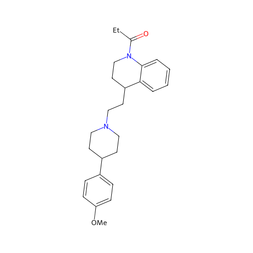 CCC(=O)N1CCC(CCN2CCC(c3ccc(OC)cc3)CC2)c2ccccc21